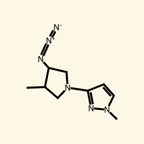 CC1CN(c2ccn(C)n2)CC1N=[N+]=[N-]